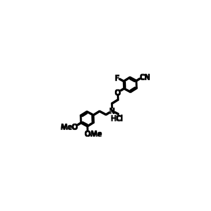 COc1ccc(CCN(C)CCOc2ccc(C#N)cc2F)cc1OC.Cl